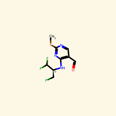 CSc1ncc(C=O)c(N[C@@H](CF)C(F)F)n1